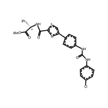 COC(=O)[C@@H](NC(=O)c1nc(-c2ccc(NC(=O)Nc3ccc(Cl)cc3)cc2)cs1)C(C)C